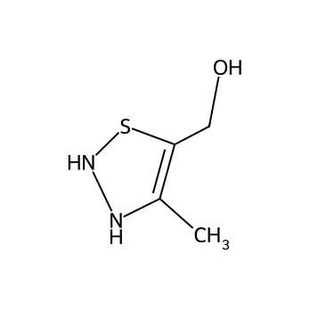 CC1=C(CO)SNN1